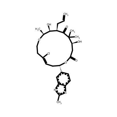 C=CC[C@H]1C(=O)C(C)(C)[C@@H](O)CC(=O)O[C@H](c2ccc3sc(C)nc3c2)C/C=C(\Cl)CCO[C@@H](C)[C@H]1O